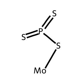 S=P(=S)[S][Mo]